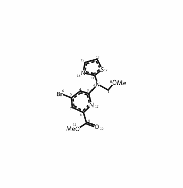 COCN(c1cc(Br)cc(C(=O)OC)n1)c1nccs1